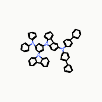 c1ccc(-c2ccc(N(c3ccc(-c4ccccc4)cc3)c3ccc4c(c3)c3ccccc3n4-c3cc(N(c4ccccc4)c4ccccc4)cc(-n4c5ccccc5c5ccccc54)c3)cc2)cc1